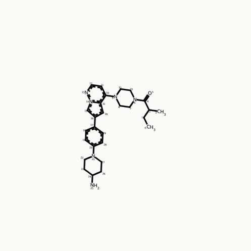 CCC(C)C(=O)N1CCN(c2ccnn3cc(-c4ccc(N5CCC(N)CC5)cc4)cc23)CC1